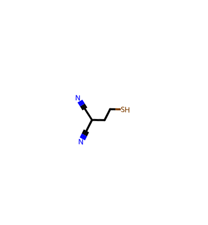 N#CC(C#N)CCS